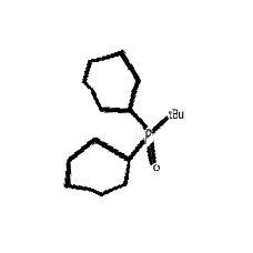 CC(C)(C)P(=O)(C1CCCCC1)C1CCCCC1